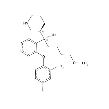 COCCCC[C@@](O)(c1ccccc1Oc1ccc(F)cc1C)[C@@H]1CCCNC1